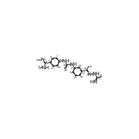 C/N=C(\NC)c1ccc(NC(=S)Nc2cccc(/C(C)=N/NC(C)=N)c2)cc1